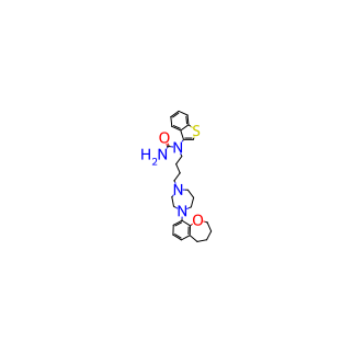 NC(=O)N(CCCCN1CCCN(c2cccc3c2OCCCC3)CC1)c1csc2ccccc12